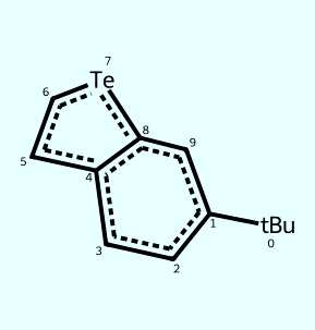 CC(C)(C)c1ccc2cc[te]c2c1